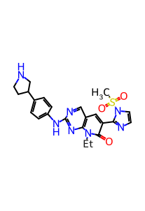 CCn1c(=O)c(-c2nccn2S(C)(=O)=O)cc2cnc(Nc3ccc(C4CCNC4)cc3)nc21